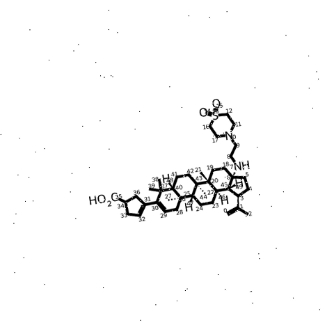 C=C(C)[C@@H]1CC[C@]2(NCCN3CCS(=O)(=O)CC3)CC[C@]3(C)[C@H](CC[C@@H]4[C@@]5(C)CC=C(C6=CCC(C(=O)O)C6)C(C)(C)[C@@H]5CC[C@]43C)[C@@H]12